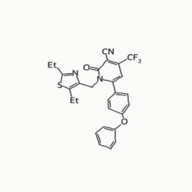 CCc1nc(Cn2c(-c3ccc(Oc4ccccc4)cc3)cc(C(F)(F)F)c(C#N)c2=O)c(CC)s1